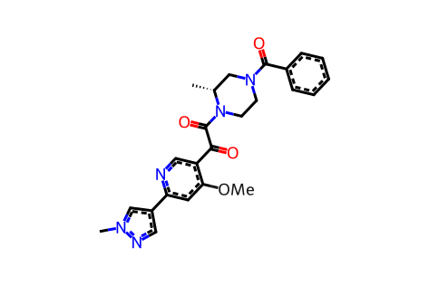 COc1cc(-c2cnn(C)c2)ncc1C(=O)C(=O)N1CCN(C(=O)c2ccccc2)C[C@H]1C